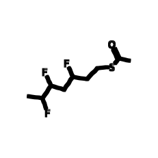 CC(=O)SCCC(F)CC(F)C(C)F